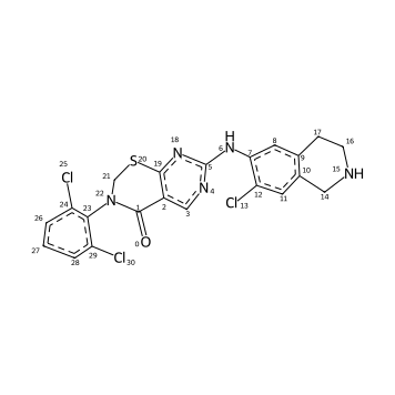 O=C1c2cnc(Nc3cc4c(cc3Cl)CNCC4)nc2SCN1c1c(Cl)cccc1Cl